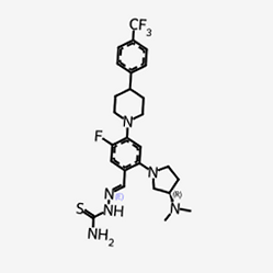 CN(C)[C@@H]1CCN(c2cc(N3CCC(c4ccc(C(F)(F)F)cc4)CC3)c(F)cc2/C=N/NC(N)=S)C1